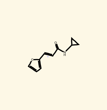 O=C(/C=C/c1ccco1)NC1CC1